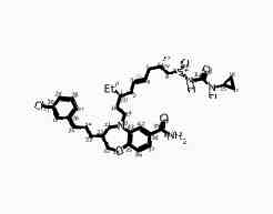 CC[C@@H](C/C=C/C[C@H](C)C[S+]([O-])NC(=O)NC1CC1)CCN1CC(CCCc2cccc(Cl)c2)COc2ccc(C(N)=O)cc21